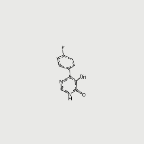 O=c1[nH]cnc(-c2ccc(F)cc2)c1O